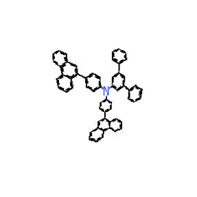 c1ccc(-c2cc(-c3ccccc3)cc(N(c3ccc(-c4cc5ccccc5c5ccccc45)cc3)c3ccc(-c4cc5ccccc5c5ccccc45)cc3)c2)cc1